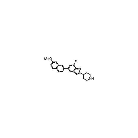 COc1cc2cc(-c3cc(F)c4nc(C5CCNCC5)cn4c3)ccc2cn1